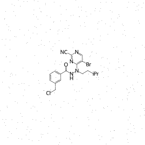 CC(C)CCN(NC(=O)c1cccc(CCl)c1)c1nc(C#N)ncc1Br